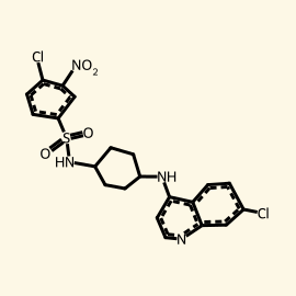 O=[N+]([O-])c1cc(S(=O)(=O)NC2CCC(Nc3ccnc4cc(Cl)ccc34)CC2)ccc1Cl